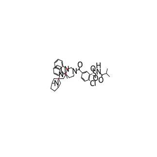 Cc1nc2ccccc2n1C1CC2CCC(C1)N2CCC1(c2ccccc2)CCN(C(=O)c2ccc(Cl)c(S(=O)(=O)NC(=O)C(C)C)c2)CC1